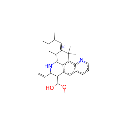 C=CC1NC2=C(C)/C(=C\C(C)CC)C(C)(C)c3c2c(cc2cccnc32)C1C(O)OC